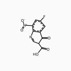 O=C(O)C1C=Nc2c(cc(F)cc2[N+](=O)[O-])C1=O